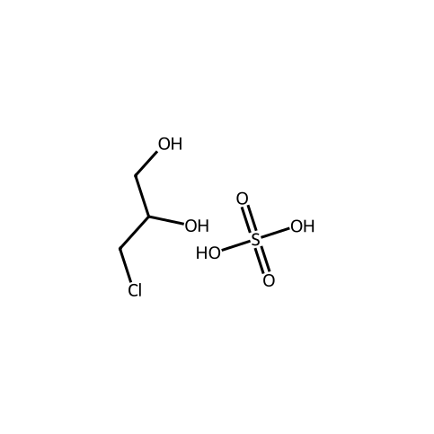 O=S(=O)(O)O.OCC(O)CCl